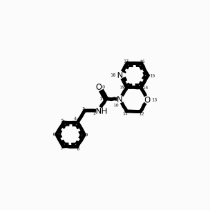 O=C(NCc1ccccc1)N1CCOc2cccnc21